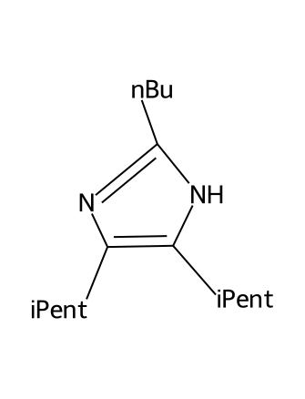 CCCCc1nc(C(C)CCC)c(C(C)CCC)[nH]1